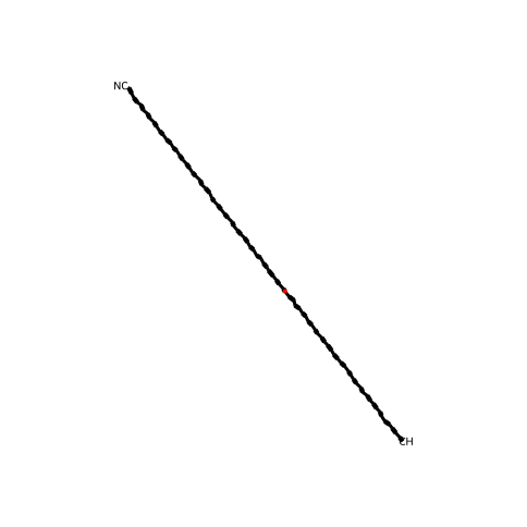 C#CC#CC#CC#CC#CC#CC#CC#CC#CC#CC#CC#CC#CC#CC#CC#CC#CC#CC#CC#CC#CC#CC#CC#CC#CC#CC#CC#CC#CC#CC#CC#CC#CC#CC#CC#CC#CC#CC#CC#CC#CC#CC#CC#N